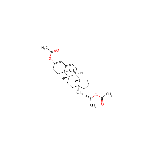 CC(=O)OC(C)=C[C@H]1CC[C@H]2[C@@H]3CC=C4C=C(OC(C)=O)CC[C@]4(C)[C@H]3CC[C@]12C